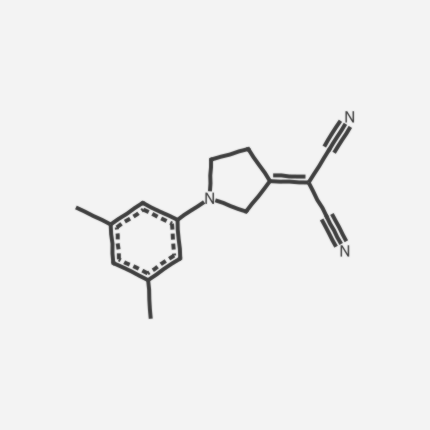 Cc1cc(C)cc(N2CCC(=C(C#N)C#N)C2)c1